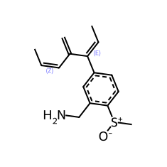 C=C(/C=C\C)/C(=C\C)c1ccc([S+](C)[O-])c(CN)c1